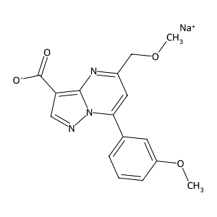 COCc1cc(-c2cccc(OC)c2)n2ncc(C(=O)[O-])c2n1.[Na+]